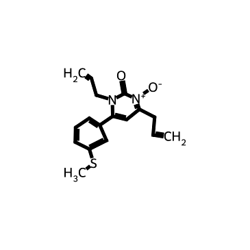 C=CCc1cc(-c2cccc(SC)c2)n(CC=C)c(=O)[n+]1[O-]